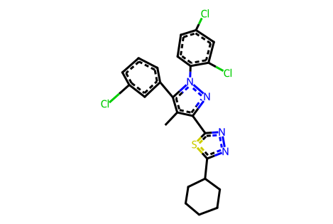 Cc1c(-c2nnc(C3CCCCC3)s2)nn(-c2ccc(Cl)cc2Cl)c1-c1cccc(Cl)c1